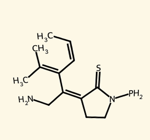 C/C=C\C(=C(C)C)/C(CN)=C1/CCN(P)C1=S